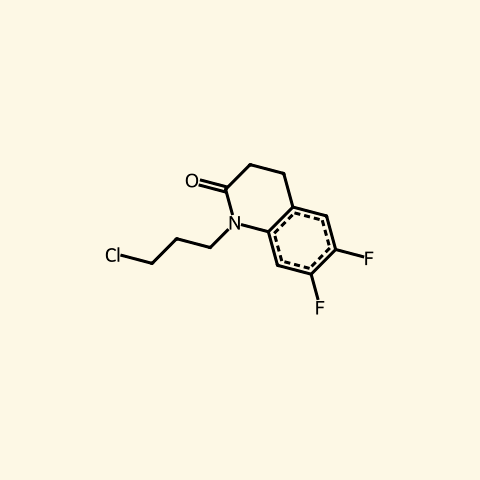 O=C1CCc2cc(F)c(F)cc2N1CCCCl